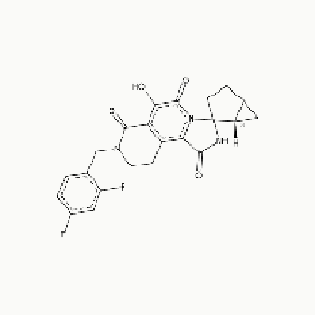 O=C1NC2(CCC3C[C@@H]32)n2c1c1c(c(O)c2=O)C(=O)N(Cc2ccc(F)cc2F)CC1